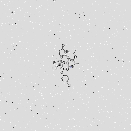 CCOC(=O)C(C)/N=[P+](\[O-])OC(Oc1ccc(Cl)cc1)[C@@H]1O[C@@H](n2ccc(=O)[nH]c2=O)[C@](C)(F)[C@@H]1O